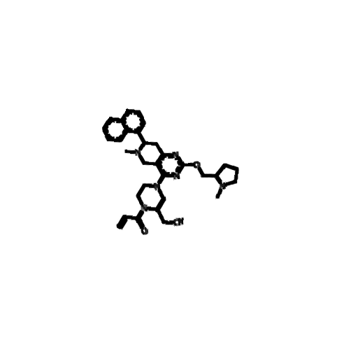 C=CC(=O)N1CCN(c2nc(OCC3CCCN3C)nc3c2CN(C)C(c2cccc4ccccc24)C3)CC1CC#N